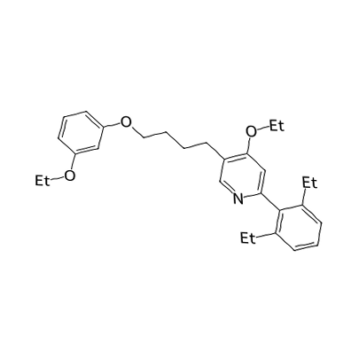 CCOc1cccc(OCCCCc2cnc(-c3c(CC)cccc3CC)cc2OCC)c1